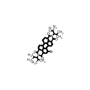 CC(C)C(C(C)C)N1C(=O)c2ccc3c4ccc5c6c(cc(Br)c(c7ccc(c2c37)C1=O)c64)C(=O)N(C(C(C)C)C(C)C)C5=O